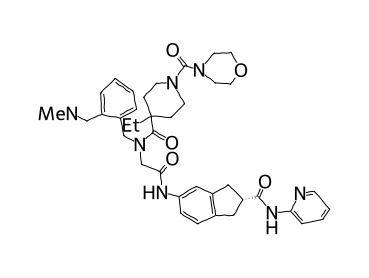 CCC1(C(=O)N(CC(=O)Nc2ccc3c(c2)C[C@H](C(=O)Nc2ccccn2)C3)Cc2ccccc2CNC)CCN(C(=O)N2CCOCC2)CC1